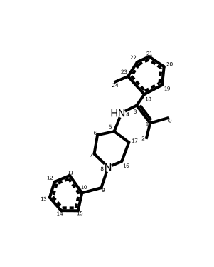 CC(C)=C(NC1CCN(Cc2ccccc2)CC1)c1ccccc1C